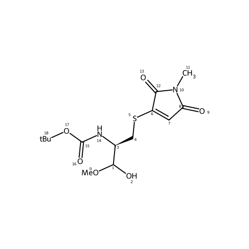 COC(O)[C@H](CSC1=CC(=O)N(C)C1=O)NC(=O)OC(C)(C)C